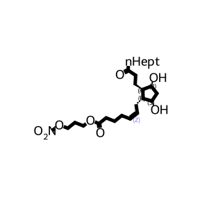 CCCCCCCC(=O)CC[C@@H]1[C@@H](C/C=C\CCCC(=O)OCCCO[N+](=O)[O-])[C@@H](O)C[C@H]1O